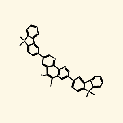 C[Si]1(C)c2ccccc2-c2cc(-c3cnc4c(c3)c(F)c(F)c3cc(-c5ccc6c(c5)-c5ccccc5[Si]6(C)C)cnc34)ccc21